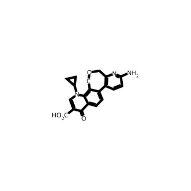 Nc1ccc2c(n1)COCc1c-2ccc2c(=O)c(C(=O)O)cn(C3CC3)c12